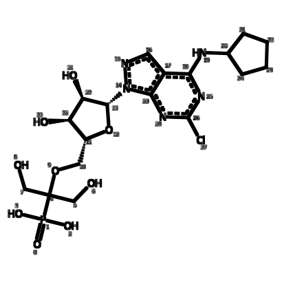 O=P(O)(O)C(CO)(CO)OC[C@H]1O[C@@H](n2ncc3c(NC4CCCC4)nc(Cl)nc32)[C@H](O)[C@@H]1O